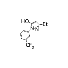 CCc1cc(O)n(-c2cccc(C(F)(F)F)c2)n1